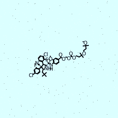 COc1cc(C(=O)OCOC(=O)OCCC(C)(C)OCCC(C)(C)OC)ccc1NC(=O)[C@@H]1NC(CC(C)(C)C)[C@](C#N)(c2ccc(Cl)cc2F)C1c1cccc(Cl)c1F